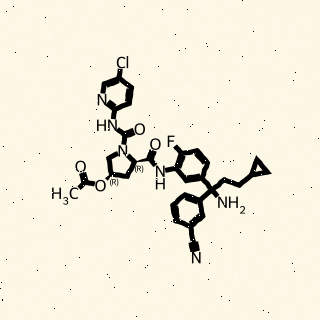 CC(=O)O[C@@H]1C[C@H](C(=O)Nc2cc(C(N)(CCC3CC3)c3cccc(C#N)c3)ccc2F)N(C(=O)Nc2ccc(Cl)cn2)C1